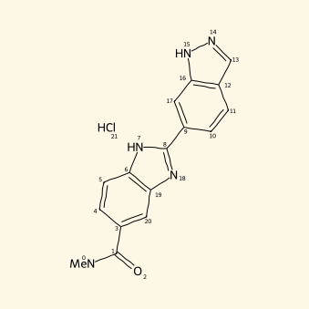 CNC(=O)c1ccc2[nH]c(-c3ccc4cn[nH]c4c3)nc2c1.Cl